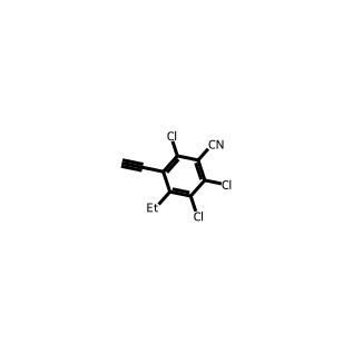 C#Cc1c(Cl)c(C#N)c(Cl)c(Cl)c1CC